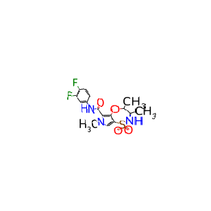 CC1NS(=O)(=O)c2cn(C)c(C(=O)Nc3ccc(F)c(F)c3)c2OC1C